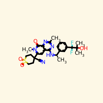 Cc1nc(N[C@H](C)c2cccc(C(F)(F)C(C)(C)O)c2)c2cc(C3(C#N)CCS(=O)(=O)CC3)n(C)c(=O)c2n1